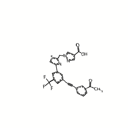 CC(=O)c1cccc(C#Cc2cc(-c3csc(Cn4cc(C(=O)O)cn4)n3)cc(C(F)(F)F)c2)c1